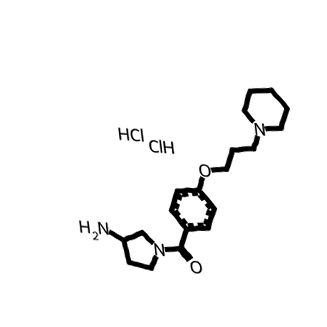 Cl.Cl.NC1CCN(C(=O)c2ccc(OCCCN3CCCCC3)cc2)C1